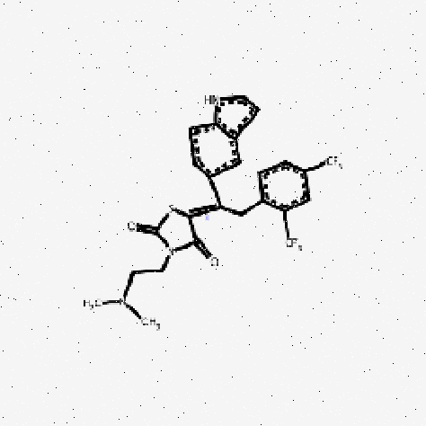 CN(C)CCN1C(=O)S/C(=C(/Cc2ccc(C(F)(F)F)cc2C(F)(F)F)c2ccc3[nH]ccc3c2)C1=O